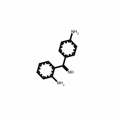 N=C(c1ccc(N)cc1)c1ccccc1N